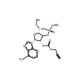 C#CCOC(=O)O[C@H]1C(OP(=O)(O)OC(C)(C)C)[C@@H](COC(C)(C)C)O[C@H]1n1cnc2c(N)ncnc21